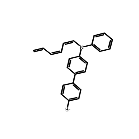 C=C/C=C\C=C/N(c1ccccc1)c1ccc(-c2ccc(Br)cc2)cc1